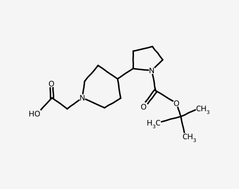 CC(C)(C)OC(=O)N1CCCC1C1CCN(CC(=O)O)CC1